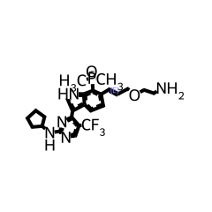 CP(C)(=O)c1c(/C=C/COCCN)ccc2c(-c3nc(NC4CCCC4)ncc3C(F)(F)F)c[nH]c12